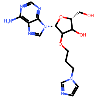 Nc1ncnc2c1ncn2[C@@H]1O[C@H](CO)C(O)C1OCCCn1ccnc1